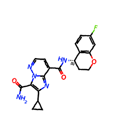 NC(=O)c1c(C2CC2)nc2c(C(=O)N[C@H]3CCOc4cc(F)ccc43)ccnn12